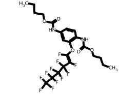 CCCCOC(=O)Nc1ccc(NC(=O)OCCCC)c(OC(F)=C(F)C(F)(F)C(F)(F)C(F)(F)C(F)(F)F)c1